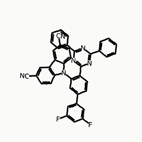 N#Cc1ccc2c(c1)c1cc(C#N)ccc1n2-c1cc(-c2cc(F)cc(F)c2)ccc1-c1nc(-c2ccccc2)nc(-c2ccccc2)n1